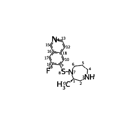 C[C@@H]1CNCCCN1Sc1cc2ccncc2cc1F